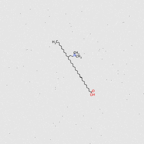 CCCCCCCCCC(CCCCCCCCCCC=CCCCCCCCC(=O)O)CCN(C)C